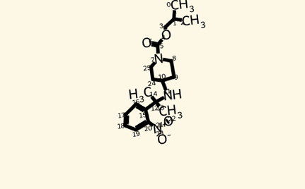 CC(C)COC(=O)N1CCC(NC(C)(C)c2ccccc2[N+](=O)[O-])CC1